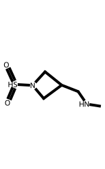 CNCC1CN([SH](=O)=O)C1